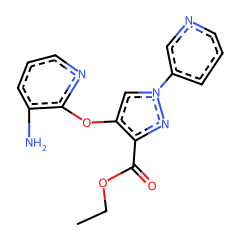 CCOC(=O)c1nn(-c2cccnc2)cc1Oc1ncccc1N